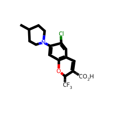 CC1CCN(c2cc3c(cc2Cl)C=C(C(=O)O)C(C(F)(F)F)O3)CC1